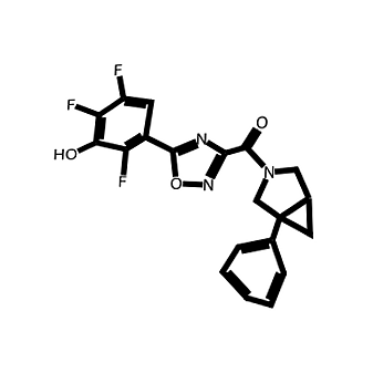 O=C(c1noc(-c2cc(F)c(F)c(O)c2F)n1)N1CC2CC2(c2ccccc2)C1